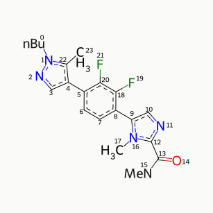 CCCCn1ncc(-c2ccc(-c3cnc(C(=O)NC)n3C)c(F)c2F)c1C